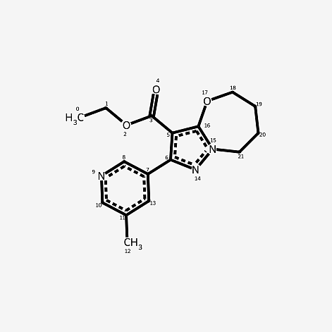 CCOC(=O)c1c(-c2cncc(C)c2)nn2c1OCCCC2